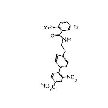 COc1ccc(Cl)cc1C(=O)NCCc1ccc(-c2ccc(C(=O)O)cc2[N+](=O)[O-])cc1